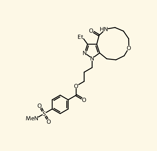 CCc1nn(CCCOC(=O)c2ccc(S(=O)(=O)NC)cc2)c2c1C(=O)NCCCOCCC2